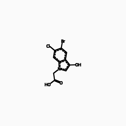 O=C(O)Cn1cc(O)c2cc(Br)c(Cl)cc21